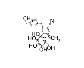 CCc1ccc(Cc2cc([C@]3(O)O[C@H](CO)[C@@H](O)[C@H](O)[C@H]3O)c(SC)cc2C#N)cc1